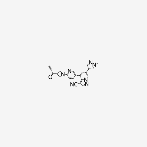 C#CC(=O)C1CN(c2ccc(-c3cc(-c4cnn(C)c4)cn4ncc(C#N)c34)cn2)C1